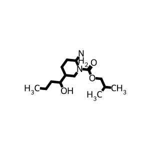 CCCC(O)C1CCC(N)N(C(=O)OCC(C)C)C1